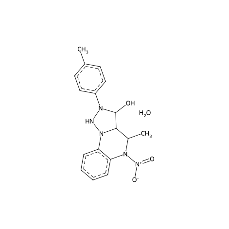 Cc1ccc(N2NN3c4ccccc4N([N+](=O)[O-])C(C)C3C2O)cc1.O